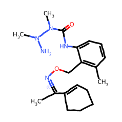 C/C(=N/OCc1c(C)cccc1NC(=O)N(C)N(C)N)C1=CCCCC1